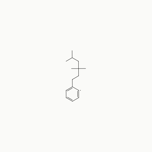 CC(C)CC(C)(C)CCc1[c]cccc1